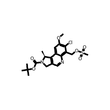 COc1cc2c3c(cnc2c(COS(C)(=O)=O)c1Cl)CN(C(=O)OC(C)(C)C)[C@H]3C